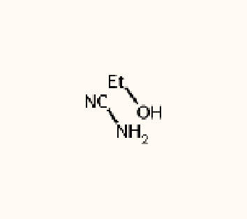 CCO.N#CN